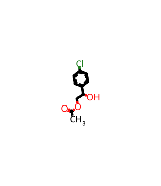 CC(=O)OCC(O)c1ccc(Cl)cc1